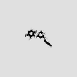 CC#CCOc1cc(Oc2c(F)ccc(F)c2F)ncn1